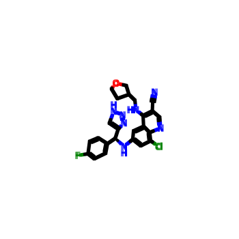 N#Cc1cnc2c(Cl)cc(N[C@@H](c3ccc(F)cc3)c3c[nH]nn3)cc2c1NCC1CCOC1